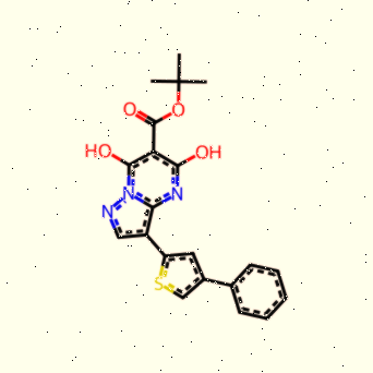 CC(C)(C)OC(=O)c1c(O)nc2c(-c3cc(-c4ccccc4)cs3)cnn2c1O